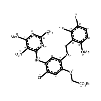 CCOC(=O)COc1cc(Cl)c(Nc2nc(C)nc(OC)c2[N+](=O)[O-])cc1OCc1c(OC)ccc(F)c1F